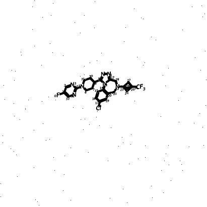 Fc1cnc(N2CCC(c3nnc4n3-c3ccc(Cl)cc3CN(C35CC(C(F)(F)F)(C3)C5)C4)CC2)nc1